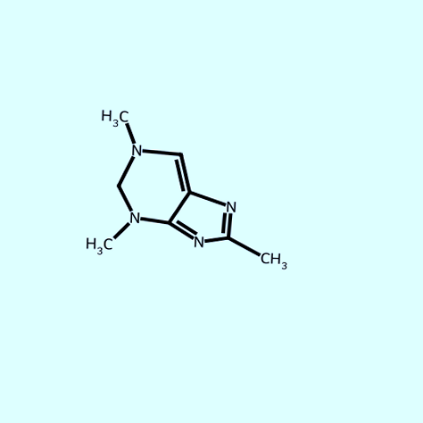 CC1=NC2=CN(C)CN(C)C2=N1